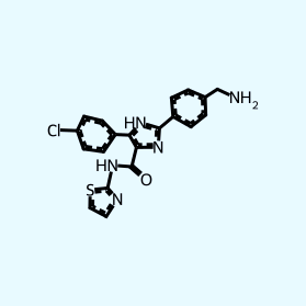 NCc1ccc(-c2nc(C(=O)Nc3nccs3)c(-c3ccc(Cl)cc3)[nH]2)cc1